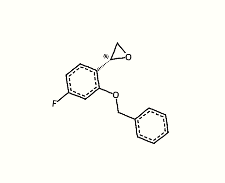 Fc1ccc([C@@H]2CO2)c(OCc2ccccc2)c1